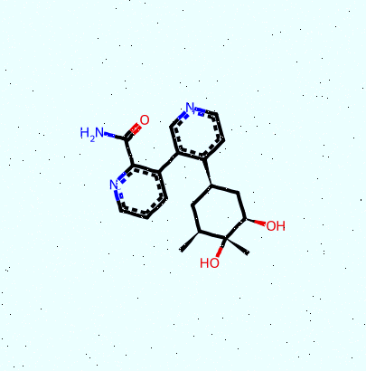 C[C@H]1C[C@@H](c2ccncc2-c2cccnc2C(N)=O)C[C@@H](O)[C@]1(C)O